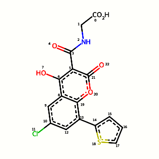 O=C(O)CNC(=O)c1c(O)c2cc(Cl)cc(-c3cccs3)c2oc1=O